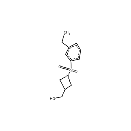 CCc1cccc(S(=O)(=O)N2CC(CO)C2)c1